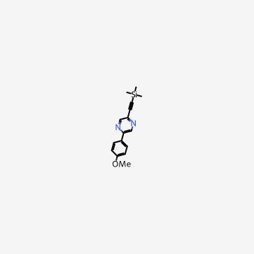 COc1ccc(-c2cnc(C#C[Si](C)(C)C)cn2)cc1